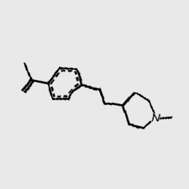 C=C(C)c1ccc(CCC2CCN(C)CC2)cc1